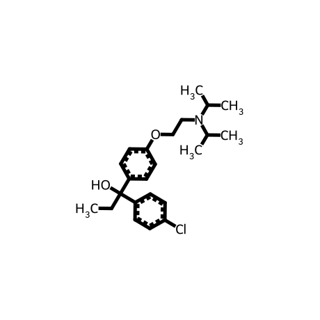 CCC(O)(c1ccc(Cl)cc1)c1ccc(OCCN(C(C)C)C(C)C)cc1